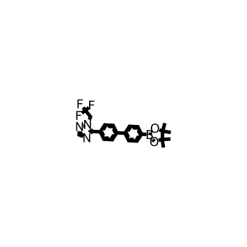 CC1(C)OB(c2ccc(-c3ccc(-c4ncnn4CC(F)(F)F)cc3)cc2)OC1(C)C